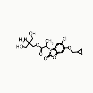 CC(C(=O)OCC(N)(CO)CO)n1c(=O)oc2cc(OCC3CC3)c(Cl)cc21